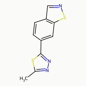 Cc1nnc(-c2ccc3cnsc3c2)s1